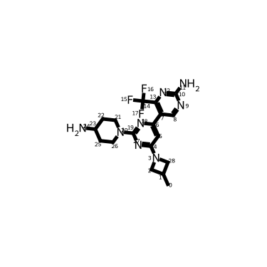 CC1CN(c2cc(-c3cnc(N)nc3C(F)(F)F)nc(N3CCC(N)CC3)n2)C1